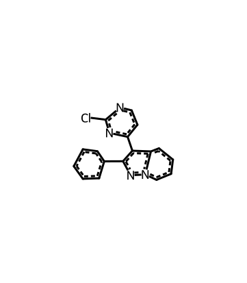 Clc1nccc(-c2c(-c3ccccc3)nn3ccccc23)n1